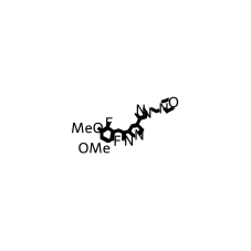 COc1cc(OC)c(F)c(CC2=CN=C3N=CC(c4cnn(CCN5CCOCC5)c4)=CC23)c1F